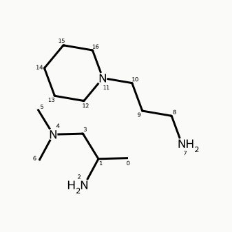 CC(N)CN(C)C.NCCCN1CCCCC1